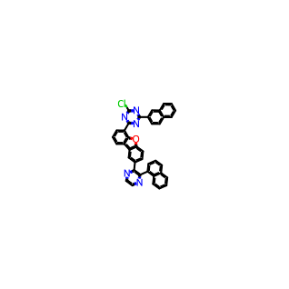 Clc1nc(-c2ccc3ccccc3c2)nc(-c2cccc3c2oc2ccc(-c4nccnc4-c4cccc5ccccc45)cc23)n1